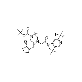 C[C@@H]1CN(CC(=O)N2CC(C)(C)c3cnc(C(C)(F)F)cc32)[C@@H](CN2CCCC2=O)CN1C(=O)OC(C)(C)C